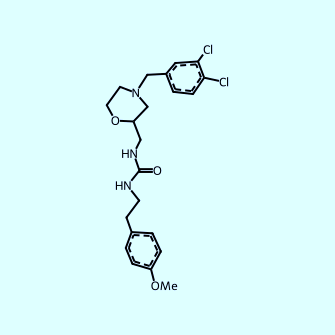 COc1ccc(CCNC(=O)NCC2CN(Cc3ccc(Cl)c(Cl)c3)CCO2)cc1